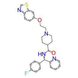 O=C(N[C@H](c1ccc(F)cc1)c1ccccn1)C1CCN(CCOc2ccc3ncsc3c2)CC1